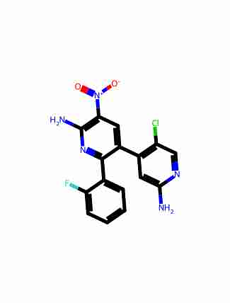 Nc1cc(-c2cc([N+](=O)[O-])c(N)nc2-c2ccccc2F)c(Cl)cn1